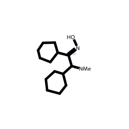 CNC(/C(=N/O)C1CCCCC1)C1CCCCC1